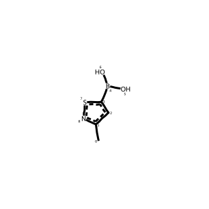 Cc1cc(B(O)O)sn1